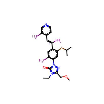 CCn1c(COC)nn(-c2cc(SC(C)C)c(/C(P)=C/c3ccncc3P)cc2P)c1=O